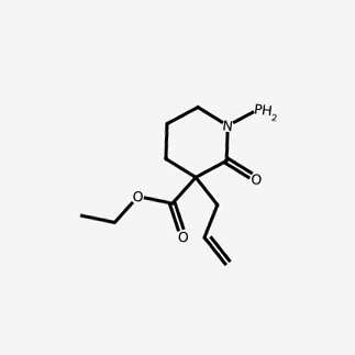 C=CCC1(C(=O)OCC)CCCN(P)C1=O